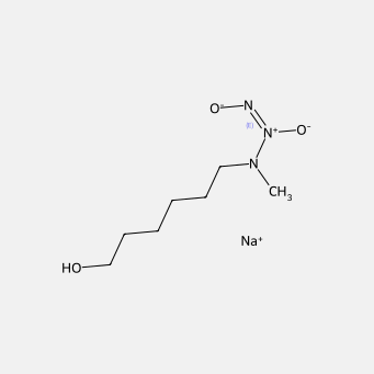 CN(CCCCCCO)/[N+]([O-])=N\[O-].[Na+]